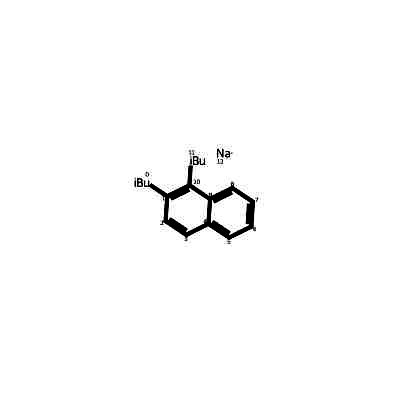 CCC(C)c1ccc2ccccc2c1C(C)CC.[Na]